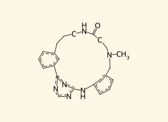 CN1CCC(=O)NCCCc2cccc(c2)-c2ncnc(n2)Nc2cccc(c2)C1